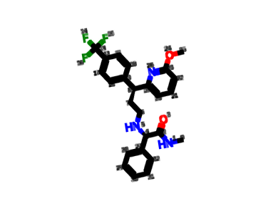 CNC(=O)[C@H](NCC[C@@H](c1ccc(C(F)(F)F)cc1)c1cccc(OC)n1)c1ccccc1